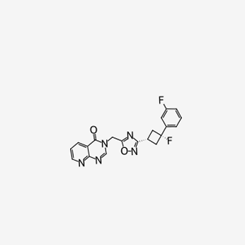 O=c1c2cccnc2ncn1Cc1nc([C@H]2C[C@](F)(c3cccc(F)c3)C2)no1